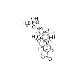 BP(=O)(O)OCO[C@@H]1[C@@]2(C(C)C)C[C@H]2[C@@H]2O[C@@]23[C@@]2(C)CCC4=C(COC4=O)[C@@H]2CO[C@]13C